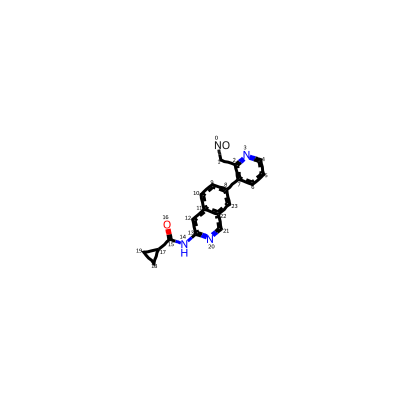 O=NCc1ncccc1-c1ccc2cc(NC(=O)C3CC3)ncc2c1